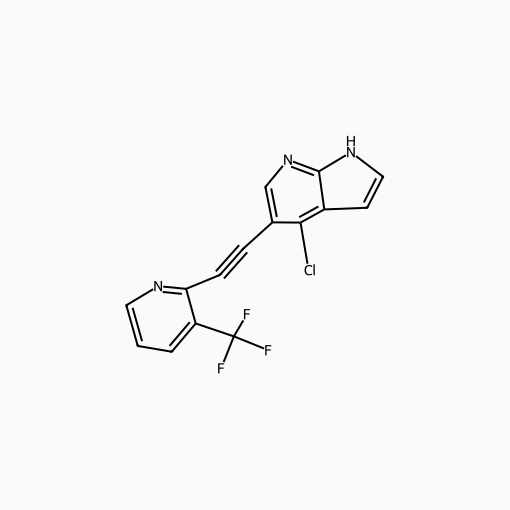 FC(F)(F)c1cccnc1C#Cc1cnc2[nH]ccc2c1Cl